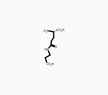 N[C@@H](CCC(=O)NCCC(=O)O)C(=O)O